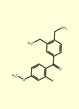 CCc1ccc(C(=O)c2ccc(OC)cc2F)cc1CC